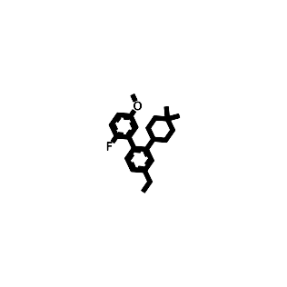 CCc1ccc(-c2cc(OC)ccc2F)c(C2CCC(C)(C)CC2)c1